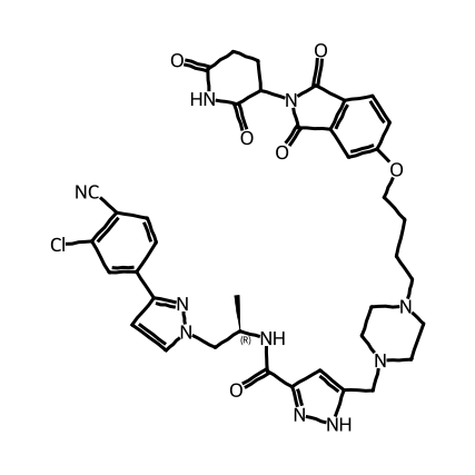 C[C@H](Cn1ccc(-c2ccc(C#N)c(Cl)c2)n1)NC(=O)c1cc(CN2CCN(CCCCOc3ccc4c(c3)C(=O)N(C3CCC(=O)NC3=O)C4=O)CC2)[nH]n1